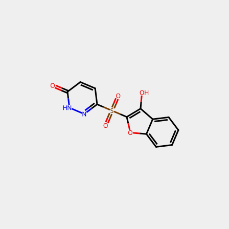 O=c1ccc(S(=O)(=O)c2oc3ccccc3c2O)n[nH]1